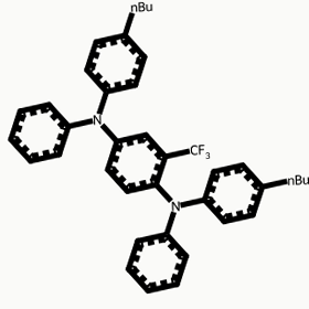 CCCCc1ccc(N(c2ccccc2)c2ccc(N(c3ccccc3)c3ccc(CCCC)cc3)c(C(F)(F)F)c2)cc1